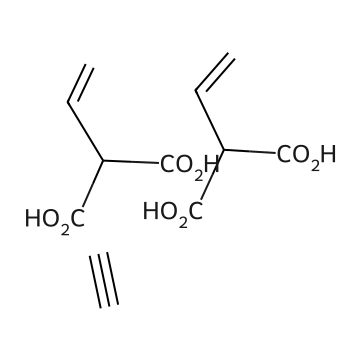 C#C.C=CC(C(=O)O)C(=O)O.C=CC(C(=O)O)C(=O)O